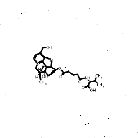 CC(C)[C@H](NC(=O)CCCC(=O)OC1=CC[C@@]2(O)[C@H]3Cc4ccc(CO)c5c4[C@@]2(CCN3C)[C@H]1O5)C(=O)O